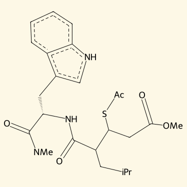 CNC(=O)[C@H](Cc1c[nH]c2ccccc12)NC(=O)C(CC(C)C)C(CC(=O)OC)SC(C)=O